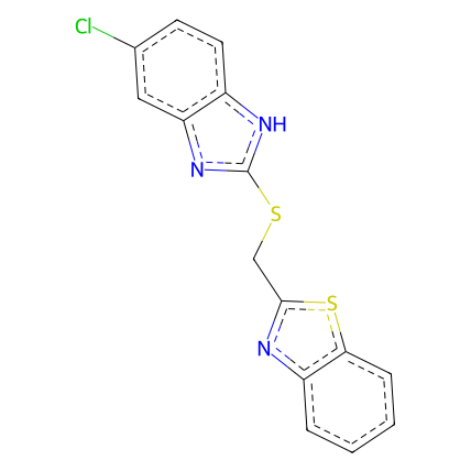 Clc1ccc2[nH]c(SCc3nc4ccccc4s3)nc2c1